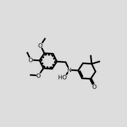 COc1cc(CN(O)C2=CC(=O)CC(C)(C)C2)cc(OC)c1OC